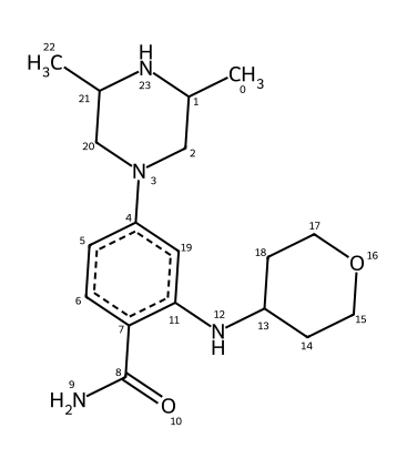 CC1CN(c2ccc(C(N)=O)c(NC3CCOCC3)c2)CC(C)N1